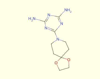 Nc1nc(N)nc(N2CCC3(CC2)OCCO3)n1